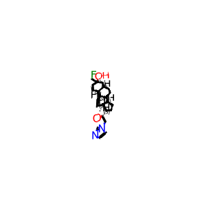 C[C@]12CC[C@H]3[C@@H](CC[C@@H]4C[C@@](O)(CF)CC[C@@H]43)[C@@H]1CC[C@@H]2C(=O)Cn1ccnc1